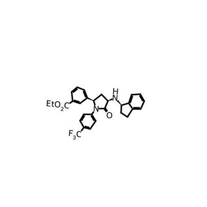 CCOC(=O)c1cccc([C@H]2C[C@@H](N[C@@H]3CCc4ccccc43)C(=O)N2c2ccc(C(F)(F)F)cc2)c1